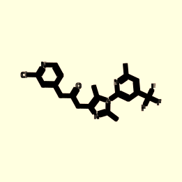 Cc1cc(C(F)(F)F)cc(-n2c(C)nc(CC(=O)Cc3ccnc(Cl)c3)c2C)n1